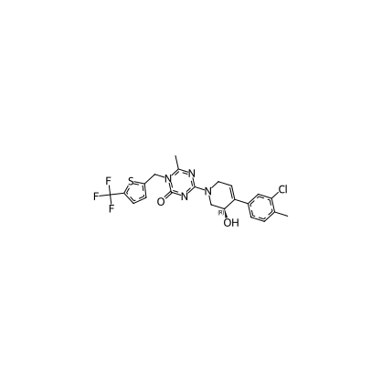 Cc1ccc(C2=CCN(c3nc(C)n(Cc4ccc(C(F)(F)F)s4)c(=O)n3)C[C@@H]2O)cc1Cl